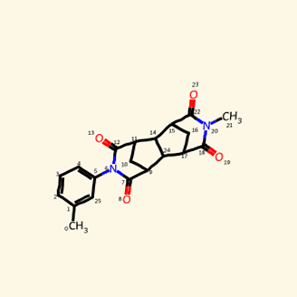 Cc1cccc(N2C(=O)C3CC(C2=O)C2C4CC(C(=O)N(C)C4=O)C32)c1